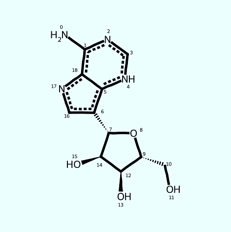 Nc1nc[nH]c2c([C@@H]3O[C@H](CO)[C@@H](O)[C@H]3O)cnc1-2